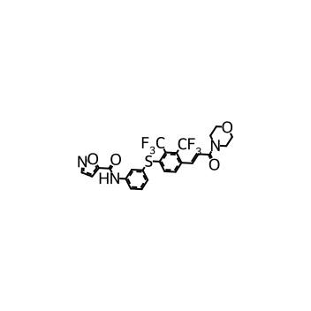 O=C(Nc1cccc(Sc2ccc(/C=C/C(=O)N3CCOCC3)c(C(F)(F)F)c2C(F)(F)F)c1)c1ccno1